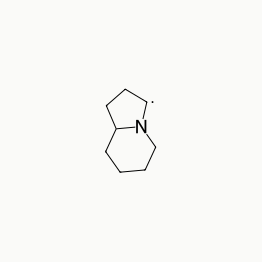 [CH]1CCC2CCCCN12